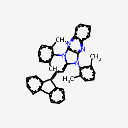 Cc1cccc(C)c1N1C(=CC=C2c3ccccc3-c3ccccc32)N(c2c(C)cccc2C)c2nc3ccccc3nc21